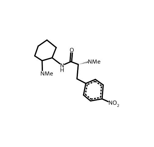 CNC1CCCCC1NC(=O)[C@@H](Cc1ccc([N+](=O)[O-])cc1)NC